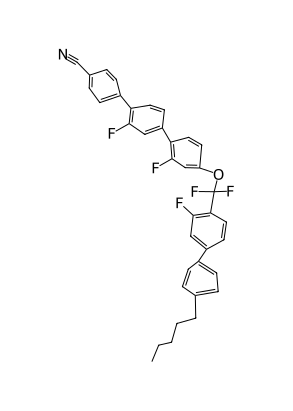 CCCCCc1ccc(-c2ccc(C(F)(F)Oc3ccc(-c4ccc(-c5ccc(C#N)cc5)c(F)c4)c(F)c3)c(F)c2)cc1